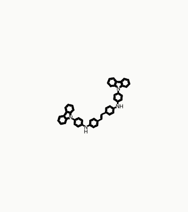 C(=C\c1ccc(Nc2ccc(-n3c4ccccc4c4ccccc43)cc2)cc1)/c1ccc(Nc2ccc(-n3c4ccccc4c4ccccc43)cc2)cc1